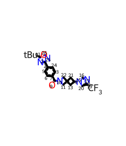 CC(C)(C)c1nc(-c2ccc(C(=O)N3CC4(CC(n5cnc(C(F)(F)F)c5)C4)C3)cc2)no1